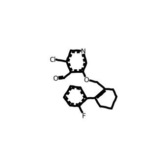 O=Cc1c(Cl)cncc1OCC1=C(c2ccccc2F)CCCC1